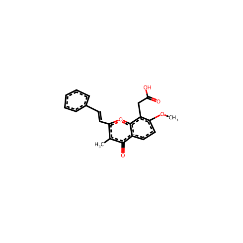 COc1ccc2c(=O)c(C)c(C=Cc3ccccc3)oc2c1CC(=O)O